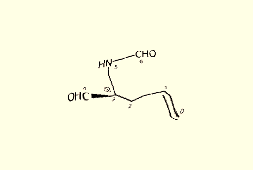 C=CC[C@@H](C=O)NC=O